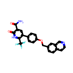 NC(=O)c1cc(-c2ccc(OCc3ccc4ccncc4c3)cc2)c(C(F)(F)F)[nH]c1=O